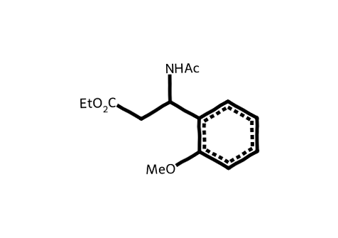 CCOC(=O)CC(NC(C)=O)c1ccccc1OC